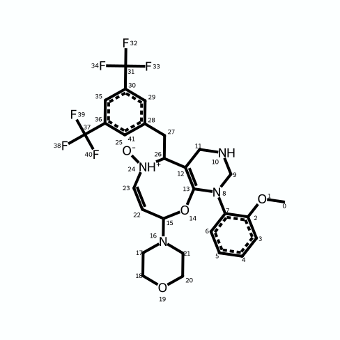 COc1ccccc1N1CNCC2=C1OC(N1CCOCC1)/C=C\[NH+]([O-])C2Cc1cc(C(F)(F)F)cc(C(F)(F)F)c1